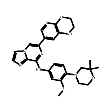 COc1cc(Nc2nc(-c3cnc4c(c3)NCCO4)cn3ccnc23)ccc1N1CCOC(C)(C)C1